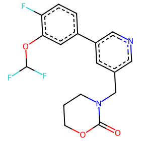 O=C1OCCCN1Cc1cncc(-c2ccc(F)c(OC(F)F)c2)c1